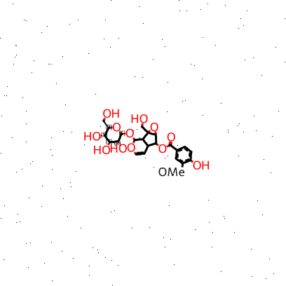 COc1cc(C(=O)OC2C3C=COC(O[C@@H]4O[C@H](CO)[C@@H](O)[C@H](O)[C@H]4O)C3C3(CO)OC23)ccc1O